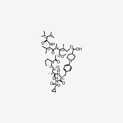 CC[C@H](C)[C@@H]([C@@H](CC(=O)N1CCC[C@H]1[C@H](OC)[C@@H](C)C(=O)N[C@@H](Cc1ccc(N2CCC(C(=O)O)CC2)cc1)C(=O)NS(=O)(=O)C1CC1)OC)N(C)C(=O)[C@@H](NC(=O)[C@H](C(C)C)N(C)C)C(C)C